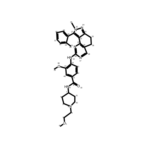 COCCN1CCC(NC(=O)c2ccc(Nc3ncc4c(n3)-c3c(nn(C)c3-c3ccccc3C)CC4)c(OC)c2)CC1